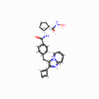 O=C(N[C@@H]1CCC[C@@H]1C(=O)NO)c1ccc(Cc2c(C3=CC=C3)nc3ccccn23)cc1